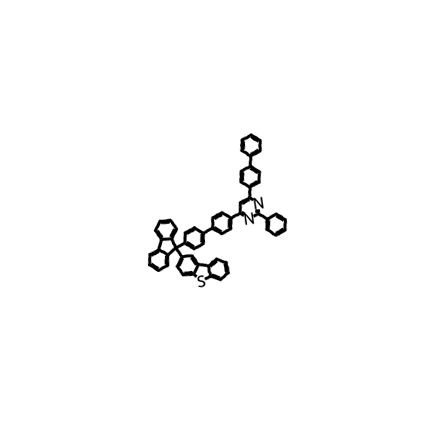 c1ccc(-c2ccc(-c3cc(-c4ccc(-c5ccc(C6(c7ccc8sc9ccccc9c8c7)c7ccccc7-c7ccccc76)cc5)cc4)nc(-c4ccccc4)n3)cc2)cc1